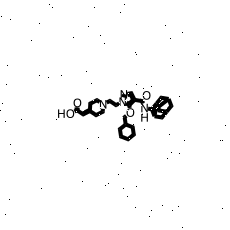 O=C(O)C=C1CCN(CCn2ncc(C(=O)NC3C4CC5CC(C4)CC3C5)c2OCC2CCCCC2)CC1